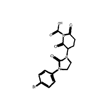 O=C(O)N1C(=O)CCC(N2CCN(c3ccc(Br)cc3)C2=O)C1=O